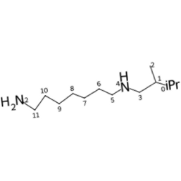 CC(C)C(C)CNCCCCCCCN